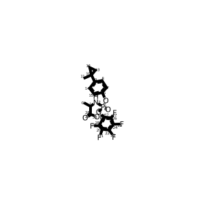 CC(NP(=O)(Oc1ccc(C2(C)CC2)cc1)Oc1c(F)c(F)c(F)c(F)c1F)C(=O)O